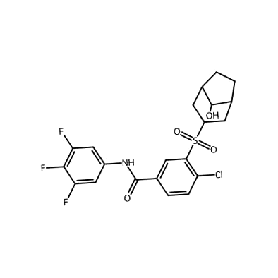 O=C(Nc1cc(F)c(F)c(F)c1)c1ccc(Cl)c(S(=O)(=O)C2CC3CCC(C2)C3O)c1